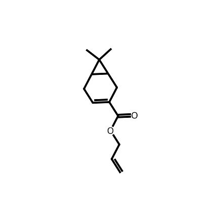 C=CCOC(=O)C1=CCC2C(C1)C2(C)C